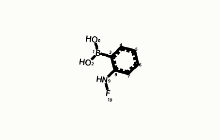 OB(O)c1ccccc1NF